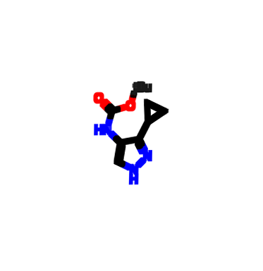 CC(C)(C)OC(=O)Nc1c[nH]nc1C1CC1